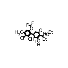 CCON=C(CC)C1=C(O)CC(c2c(OC(F)F)cc(C)c(Cl)c2C)CC1=O